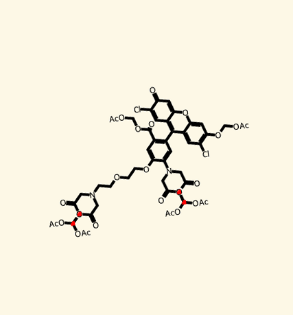 CC(=O)OCOC(=O)CN(CCOCCOc1cc(C(=O)OCOC(C)=O)c(-c2c3cc(Cl)c(=O)cc-3oc3cc(OCOC(C)=O)c(Cl)cc23)cc1N(CC(=O)OCOC(C)=O)CC(=O)OCOC(C)=O)CC(=O)OCOC(C)=O